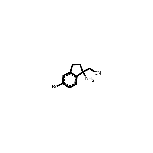 N#CCC1(N)CCc2cc(Br)ccc21